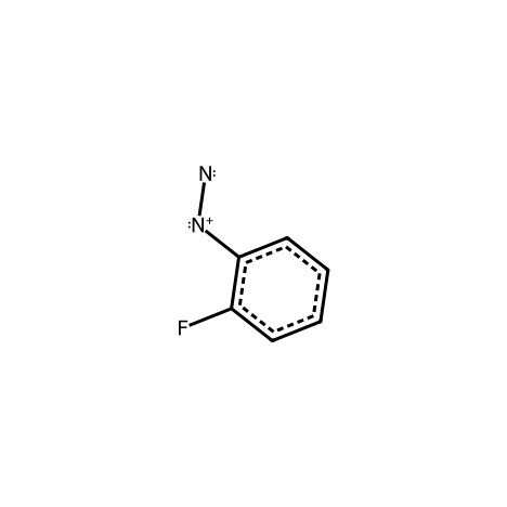 [N][N+]c1ccccc1F